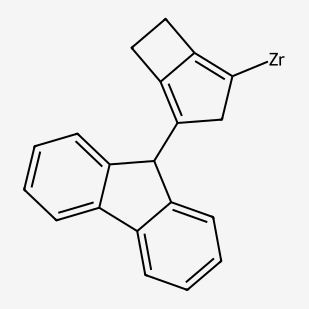 [Zr][C]1=C2CCC2=C(C2c3ccccc3-c3ccccc32)C1